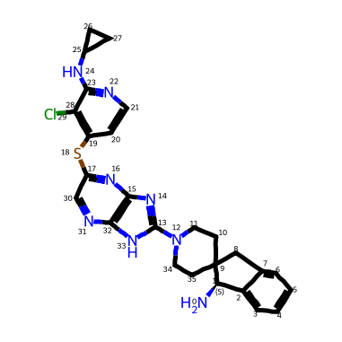 N[C@@H]1c2ccccc2CC12CCN(c1nc3nc(Sc4ccnc(NC5CC5)c4Cl)cnc3[nH]1)CC2